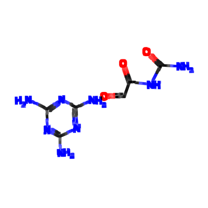 NC(=O)NC(=O)C=O.Nc1nc(N)nc(N)n1